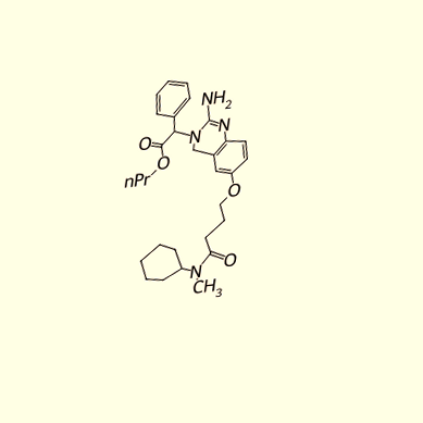 CCCOC(=O)C(c1ccccc1)N1Cc2cc(OCCCC(=O)N(C)C3CCCCC3)ccc2N=C1N